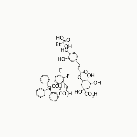 CCP(=O)(O)O.O=C(/C=C/c1ccc(O)c(O)c1)O[C@@H]1C[C@](O)(C(=O)O)C[C@@H](O)[C@H]1O.O=C(O)/C=C/c1cccc(F)c1F.O=C(O)[Si](c1ccccc1)(c1ccccc1)c1ccccc1